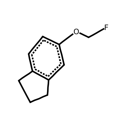 FCOc1ccc2c(c1)CCC2